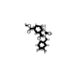 COC(=O)c1ccc2[nH]c(=O)n(Cc3ccc(F)c(F)c3)c(=O)c2c1